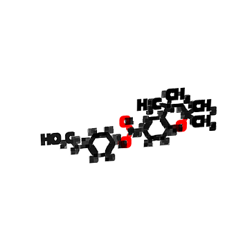 CC1(C)CC(C)(C)c2cc(C(=O)Oc3ccc(CC(=O)O)cc3)ccc2O1